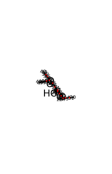 CCCCCCCCC(CCC)OC(=O)CCCN(CCO)CCCCCCCC(=O)OC(CCCCCCCC)CCCCCCCC